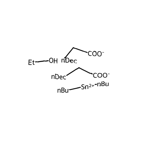 CCCCCCCCCCCC(=O)[O-].CCCCCCCCCCCC(=O)[O-].CCC[CH2][Sn+2][CH2]CCC.CCO